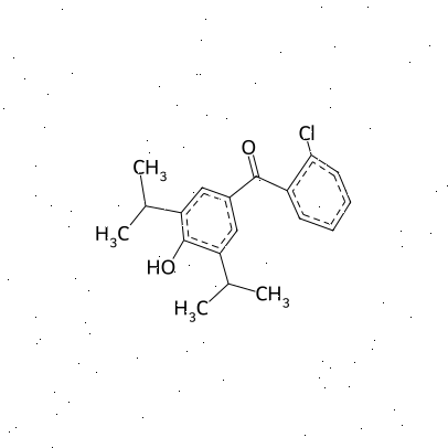 CC(C)c1cc(C(=O)c2ccccc2Cl)cc(C(C)C)c1O